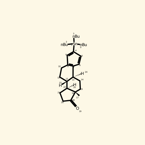 CCC[CH2][Sn]([CH2]CCC)([CH2]CCC)[c]1ccc2c(c1)CC[C@@H]1[C@@H]2CC[C@]2(C)C(=O)CC[C@@H]12